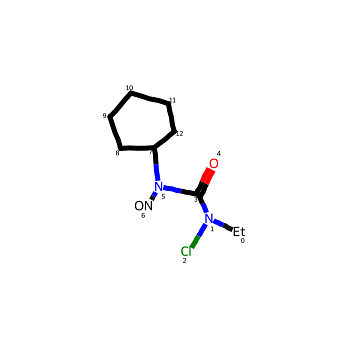 CCN(Cl)C(=O)N(N=O)C1CCCCC1